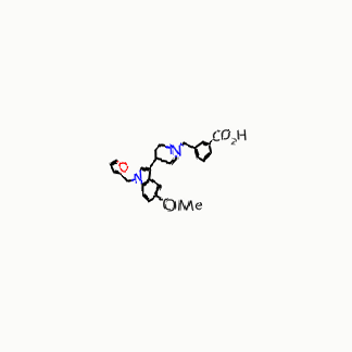 COc1ccc2c(c1)c(C1CCN(Cc3cccc(C(=O)O)c3)CC1)cn2Cc1ccco1